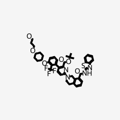 CC(C)(C)OC(=O)c1nc(N2CCc3cccc(C(=O)Nc4nc5ccccc5s4)c3C2)ccc1-c1cccc(OC2CCC(OCCC=O)CC2)c1C(F)(F)F